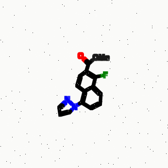 COC(=O)c1ccc2c(-n3cccn3)cccc2c1F